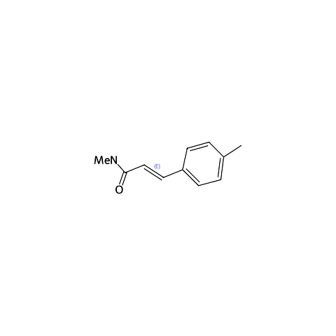 CNC(=O)/C=C/c1ccc(C)cc1